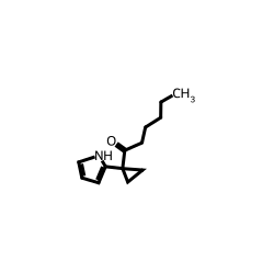 CCCCCC(=O)C1(c2ccc[nH]2)CC1